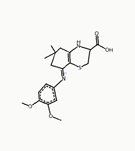 COc1ccc(/N=C2\CC(C)(C)CC3=C2SCC(C(=O)O)N3)cc1OC